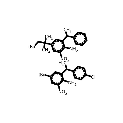 CC(c1ccc(Cl)cc1)c1cc(C(C)(C)C)cc([N+](=O)[O-])c1N.CC(c1ccccc1)c1cc(C(C)(C)CC(C)(C)C)cc([N+](=O)[O-])c1N